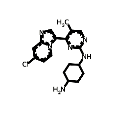 Cc1cnc(NC2CCC(N)CC2)nc1-c1cnc2cc(Cl)ccn12